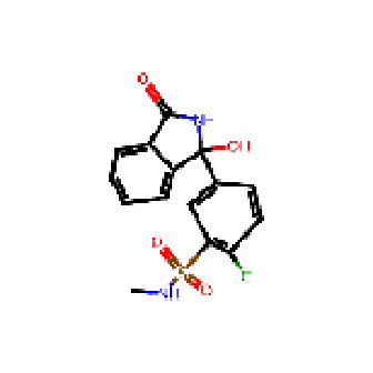 CNS(=O)(=O)c1cc(C2(O)NC(=O)c3ccccc32)ccc1Cl